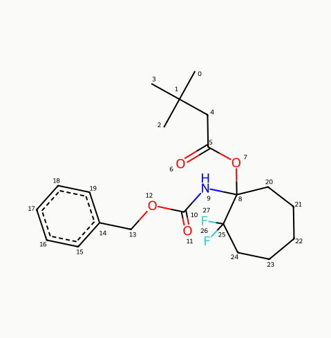 CC(C)(C)CC(=O)OC1(NC(=O)OCc2ccccc2)CCCCCC1(F)F